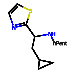 CCCCCNC(CC1CC1)c1nccs1